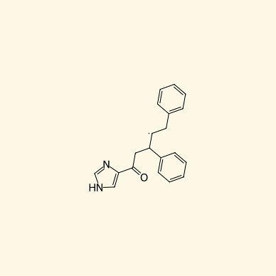 O=C(CC([CH]Cc1ccccc1)c1ccccc1)c1c[nH]cn1